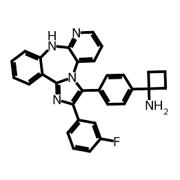 NC1(c2ccc(-c3c(-c4cccc(F)c4)nc4n3-c3cccnc3Nc3ccccc3-4)cc2)CCC1